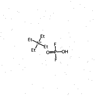 CC[N+](CC)(CC)CC.O=P(O)(F)F